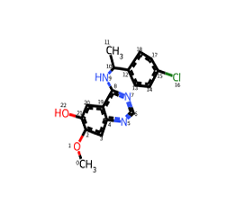 COc1cc2ncnc(NC(C)c3ccc(Cl)cc3)c2cc1O